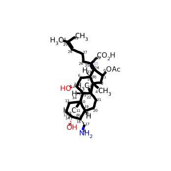 CC(=O)OC1CC2(C)[C@@H](C[C@@H](O)[C@H]3C4(C)CC[C@@H](O)[C@@H](CN)[C@@H]4CCC32C)/C1=C(\CCC=C(C)C)C(=O)O